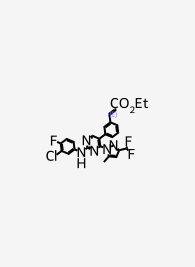 CCOC(=O)/C=C/c1cccc(-c2cnc(Nc3ccc(F)c(Cl)c3)nc2-n2nc(C(F)F)cc2C)c1